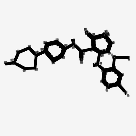 COc1cc(F)ncc1Nc1cc[nH]c(=O)c1C(=O)Nc1ccc(N2CCN(C)CC2)cc1